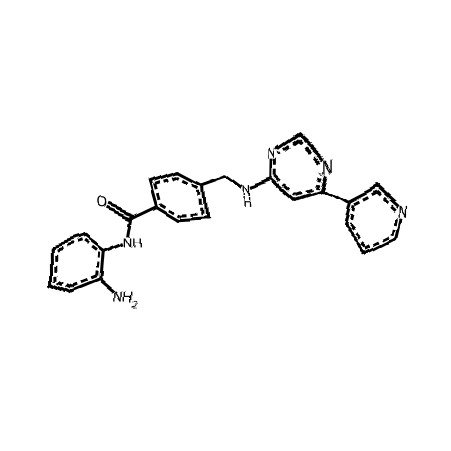 Nc1ccccc1NC(=O)c1ccc(CNc2cc(-c3cccnc3)ncn2)cc1